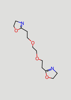 C1COC(CCOCCOCCC2=NCCO2)=N1